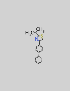 CC(C)c1nc(-c2ccc(-c3ccccc3)cc2)cs1